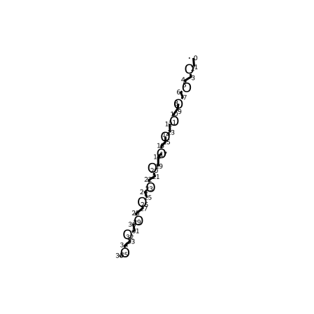 [CH2]COCCOCCOCCOCCOCCOCCOCCOCCOCCOCCOCCOC